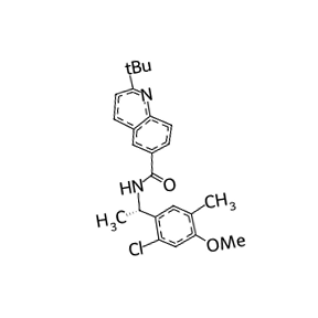 COc1cc(Cl)c([C@H](C)NC(=O)c2ccc3nc(C(C)(C)C)ccc3c2)cc1C